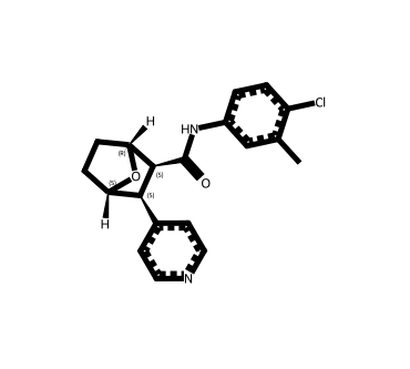 Cc1cc(NC(=O)[C@H]2[C@@H](c3ccncc3)[C@@H]3CC[C@H]2O3)ccc1Cl